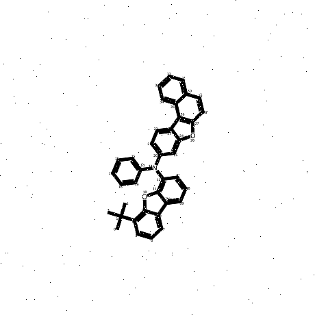 CC(C)(C)c1cccc2c1oc1c(N(c3ccccc3)c3ccc4c(c3)oc3ccc5ccccc5c34)cccc12